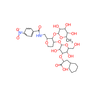 CC1OC(OC2C(CNC(=O)c3ccc([N+](=O)[O-])cc3)OCCC2OC2OC(CO)C(O)C(OC(CC3CCCCC3)C(=O)O)C2O)C(O)C(O)C1O